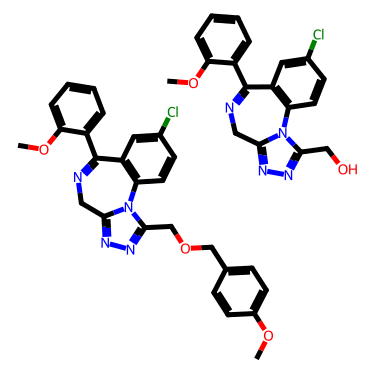 COc1ccc(COCc2nnc3n2-c2ccc(Cl)cc2C(c2ccccc2OC)=NC3)cc1.COc1ccccc1C1=NCc2nnc(CO)n2-c2ccc(Cl)cc21